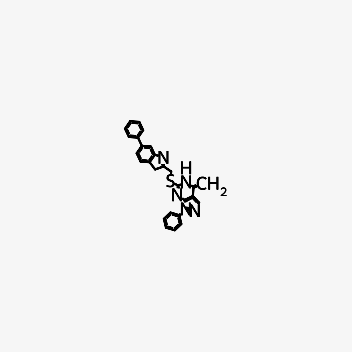 C=C1NC(SCC2=Nc3cc(-c4ccccc4)ccc3C2)=Nc2c1cnn2-c1ccccc1